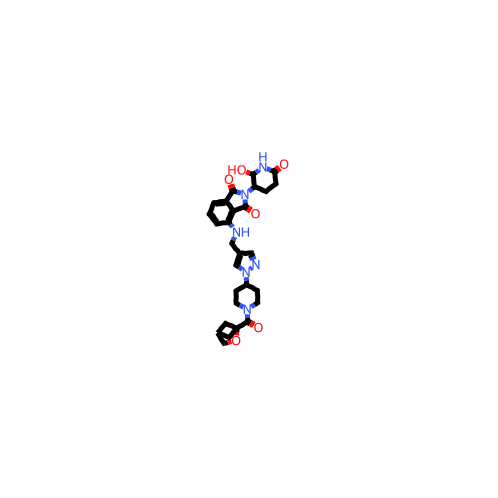 O=C1CCC(N2C(=O)c3cccc(NCc4cnn(C5CCN(C(=O)C67CC(CO6)C7)CC5)c4)c3C2=O)C(O)N1